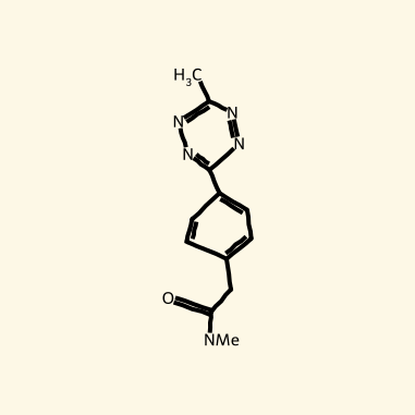 CNC(=O)Cc1ccc(-c2nnc(C)nn2)cc1